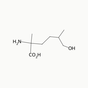 CC(CO)CCC(C)(N)C(=O)O